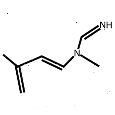 C=C(C)/C=C/N(C)C=N